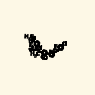 COC(=O)c1ccc2nc(C(C)c3ccc(-c4cccc(OCc5ccc(Cl)cc5F)n4)c4c3CCO4)n(CC3(CF)CC3)c2c1